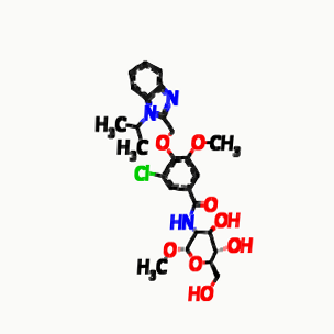 COc1cc(C(=O)N[C@H]2[C@@H](OC)O[C@H](CO)[C@@H](O)[C@@H]2O)cc(Cl)c1OCc1nc2ccccc2n1C(C)C